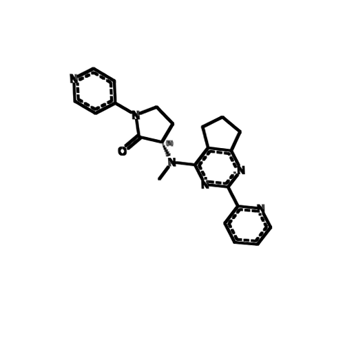 CN(c1nc(-c2ccccn2)nc2c1CCC2)[C@H]1CCN(c2ccncc2)C1=O